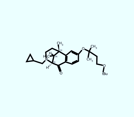 C[C@H]1[C@H]2C(=O)c3ccc(OC(C)(C)CCOC(C)(C)C)cc3[C@@]1(C)CCN2CC1CC1